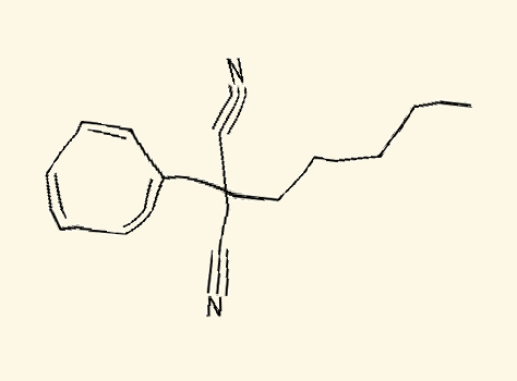 CCCCCC(C#N)(C#N)c1ccccc1